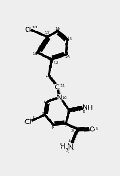 N=c1c(C(N)=O)cc(Cl)cn1CCc1cccc(Cl)c1